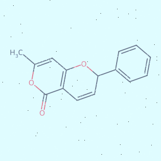 Cc1cc2c(c(=O)o1)C=CC(c1ccccc1)O2